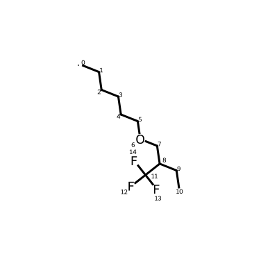 [CH2]CCCCCOCC(CC)C(F)(F)F